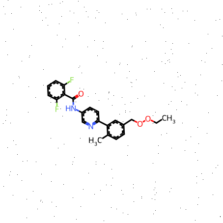 CCOOCc1ccc(C)c(-c2ccc(NC(=O)c3c(F)cccc3F)cn2)c1